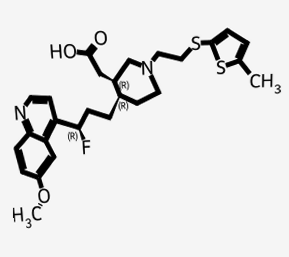 COc1ccc2nccc([C@H](F)CC[C@@H]3CCN(CCSc4ccc(C)s4)C[C@@H]3CC(=O)O)c2c1